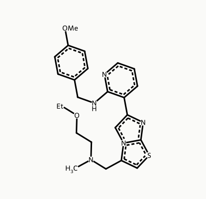 CCOCCN(C)Cc1csc2nc(-c3cccnc3NCc3ccc(OC)cc3)cn12